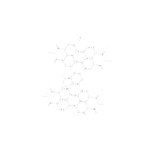 [C-]#[N+]c1cc2c3c(cc(-c4ccc(-c5cc6c7c(cc(C)c8c9ccc%10c%11c(ccc(c5c78)c%119)C(=O)N(C)C%10=O)C(=O)N(C)C6=O)c5nsnc45)c4c5ccc6c7c(ccc(c1c34)c75)C(=O)N(C)C6=O)C(=O)N(C)C2=O